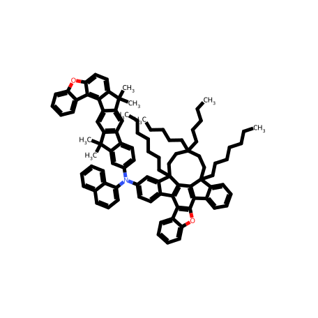 CCCCCCCC12CCC(CCCCC)(CCCCC)CCC3(CCCCCCC)c4cc(N(c5ccc6c(c5)C(C)(C)c5cc7c(cc5-6)C(C)(C)c5ccc6oc8ccccc8c6c5-7)c5cccc6ccccc56)ccc4-c4c3c1c(c1oc3ccccc3c41)-c1ccccc12